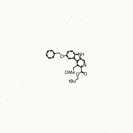 COCc1c(C(=O)OCC(C)(C)C)ncc2[nH]c3ccc(OCc4ccccc4)cc3c12